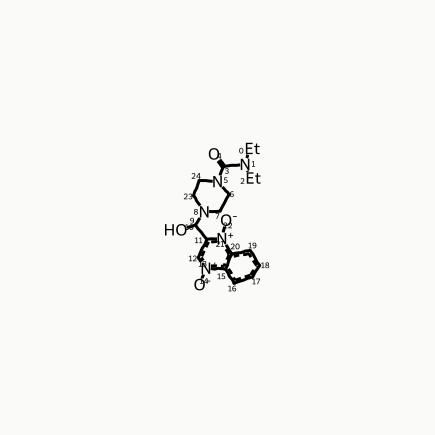 CCN(CC)C(=O)N1CCN(C(O)c2c[n+]([O-])c3ccccc3[n+]2[O-])CC1